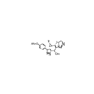 COc1ccc(-n2cc(C(O)c3c(C4CC4F)sc4cncn34)nn2)cc1